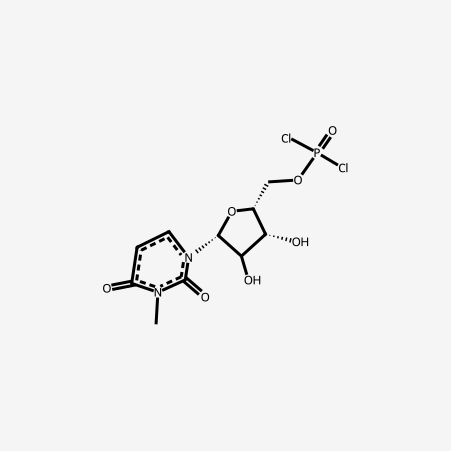 Cn1c(=O)ccn([C@@H]2O[C@H](COP(=O)(Cl)Cl)[C@H](O)C2O)c1=O